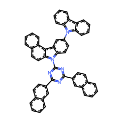 c1ccc2cc(-c3nc(-c4ccc5ccccc5c4)nc(-n4c5ccc(-n6c7ccccc7c7ccccc76)cc5c5c6ccccc6ccc54)n3)ccc2c1